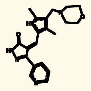 Cc1[nH]c(C=C2C(=O)NN=C2c2cccnc2)c(C)c1CN1CCOCC1